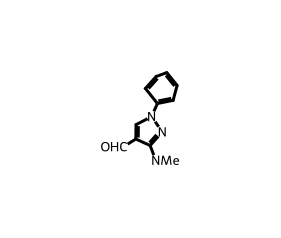 CNc1nn(-c2ccccc2)cc1C=O